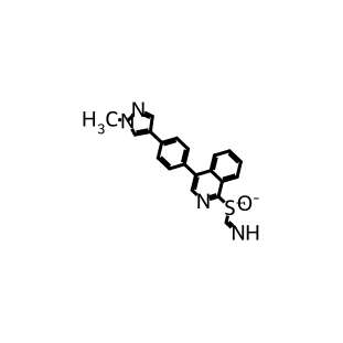 Cn1cc(-c2ccc(-c3cnc([S+]([O-])C=N)c4ccccc34)cc2)cn1